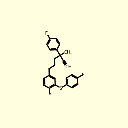 C#CC(C)(CCCc1ccc(F)c(Sc2ccc(F)cc2)c1)c1ccc(F)cc1